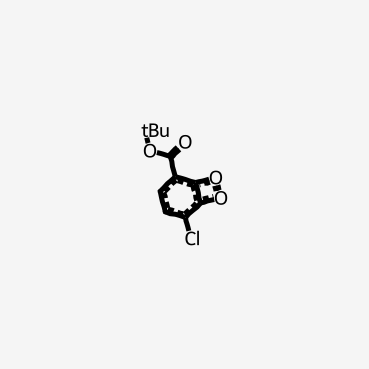 CC(C)(C)OC(=O)c1ccc(Cl)c2ooc12